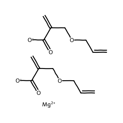 C=CCOCC(=C)C(=O)[O-].C=CCOCC(=C)C(=O)[O-].[Mg+2]